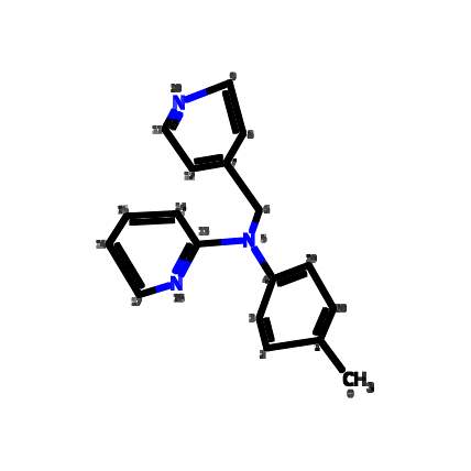 Cc1ccc(N(Cc2ccncc2)c2[c]cccn2)cc1